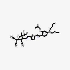 C=C(C)COc1cc(N(CCCC)CCCC)ccc1/C=C/c1ccc(/C=C/C2=C(C#N)C(=C(C#N)C#N)OC2(C)C(F)(F)F)s1